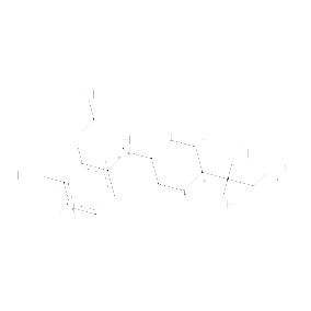 CCOc1c(NC2CCC(C(C)(C)CC)CC2)ccnc1C